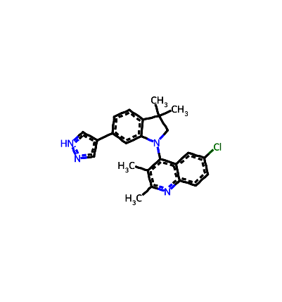 Cc1nc2ccc(Cl)cc2c(N2CC(C)(C)c3ccc(-c4cn[nH]c4)cc32)c1C